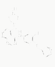 CN1CCC(Oc2cccc3ncnc(Nc4ccc(OCc5cccnc5)c(Cl)c4)c23)CC1